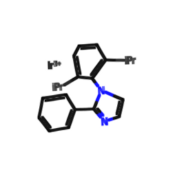 CC(C)c1cccc(C(C)C)c1-n1ccnc1-c1ccccc1.[Ir+3]